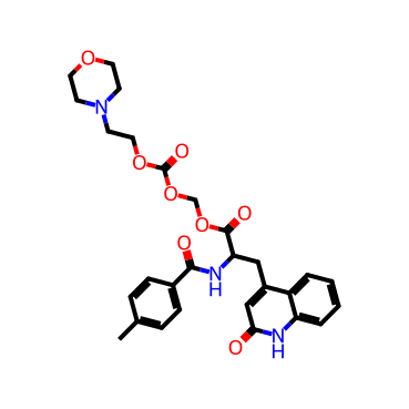 Cc1ccc(C(=O)NC(Cc2cc(=O)[nH]c3ccccc23)C(=O)OCOC(=O)OCCN2CCOCC2)cc1